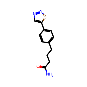 NC(=O)C[CH]Cc1ccc(-c2cnns2)cc1